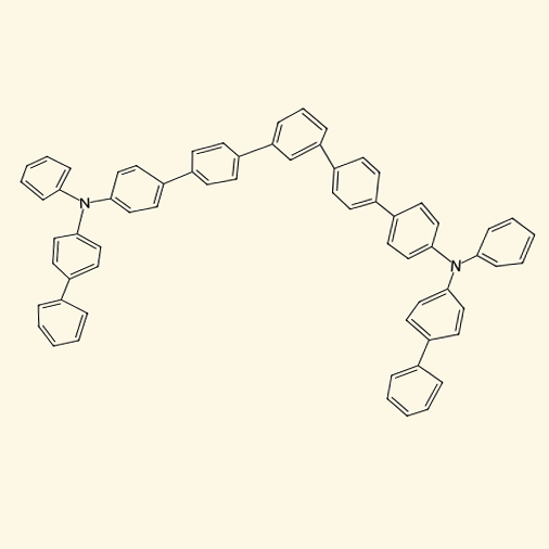 c1ccc(-c2ccc(N(c3ccccc3)c3ccc(-c4ccc(-c5cccc(-c6ccc(-c7ccc(N(c8ccccc8)c8ccc(-c9ccccc9)cc8)cc7)cc6)c5)cc4)cc3)cc2)cc1